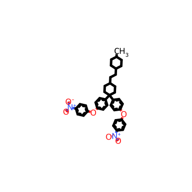 CC1CCC(CCC2CCC(c3ccc(Oc4ccc([N+](=O)[O-])cc4)cc3)(c3ccc(Oc4ccc([N+](=O)[O-])cc4)cc3)CC2)CC1